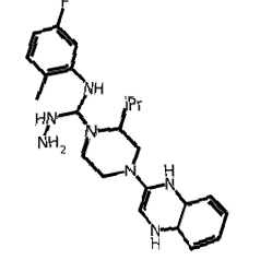 Cc1ccc(F)cc1NC(NN)N1CCN(C2=CNC3C=CC=CC3N2)CC1C(C)C